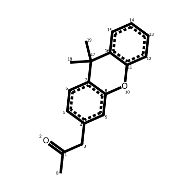 CC(=O)Cc1ccc2c(c1)Oc1ccccc1C2(C)C